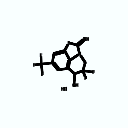 Cl.N=c1sc2cc(C(F)(F)F)cc3c2n1CC(F)(F)C3O